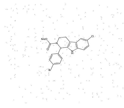 COC(=O)N1CCc2c([nH]c3ccc(Cl)cc23)C1c1ccc(Br)cc1